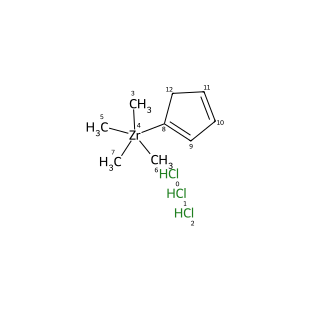 Cl.Cl.Cl.[CH3][Zr]([CH3])([CH3])([CH3])[C]1=CC=CC1